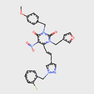 COc1ccc(Cn2c(=O)c([N+](=O)[O-])c(C=Cc3cnn(Cc4ccccc4F)c3)n(Cc3ccoc3)c2=O)cc1